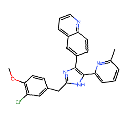 COc1ccc(Cc2nc(-c3ccc4ncccc4c3)c(-c3cccc(C)n3)[nH]2)cc1Cl